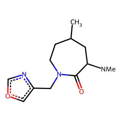 CNC1CC(C)CCN(Cc2cocn2)C1=O